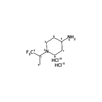 CC(N1CCC(N)CC1)C(F)(F)F.Cl.Cl